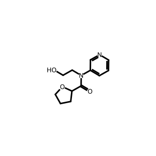 O=C(C1CCCO1)N(CCO)c1cccnc1